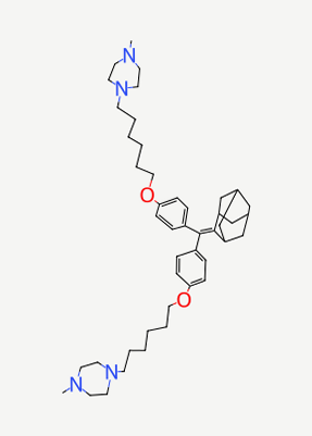 CN1CCN(CCCCCCOc2ccc(C(=C3C4CC5CC(C4)CC3C5)c3ccc(OCCCCCCN4CCN(C)CC4)cc3)cc2)CC1